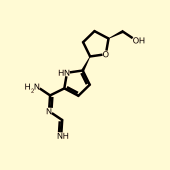 N=C/N=C(/N)c1ccc([C@H]2CC[C@@H](CO)O2)[nH]1